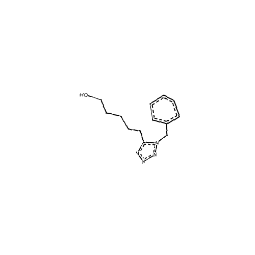 OCCCCCc1nnnn1Cc1ccccc1